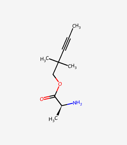 CC#CC(C)(C)COC(=O)[C@H](C)N